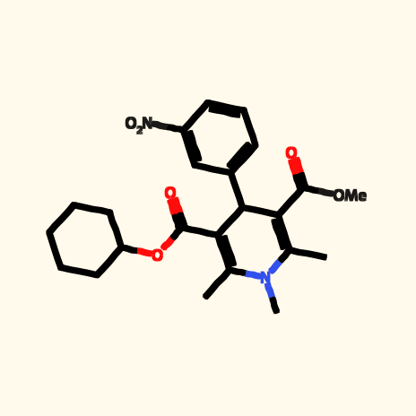 COC(=O)C1=C(C)N(C)C(C)=C(C(=O)OC2CCCCC2)C1c1cccc([N+](=O)[O-])c1